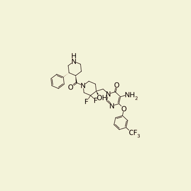 Nc1c(Oc2cccc(C(F)(F)F)c2)ncn(C[C@@]2(O)CCN(C(=O)[C@@H]3CCNC[C@H]3c3ccccc3)CC2(F)F)c1=O